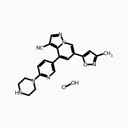 Cc1cc(-c2cc(-c3ccc(N4CCNCC4)nc3)c3c(C#N)cnn3c2)on1.OCl